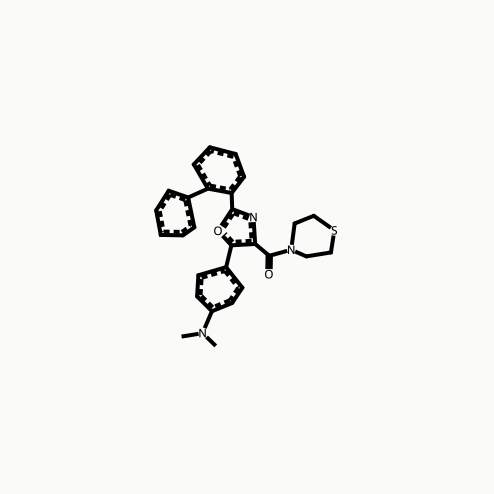 CN(C)c1ccc(-c2oc(-c3ccccc3-c3ccccc3)nc2C(=O)N2CCSCC2)cc1